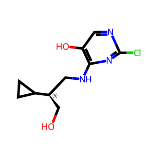 OC[C@H](CNc1nc(Cl)ncc1O)C1CC1